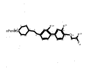 CCCCC[SiH]1CCC(CCc2ccc(-c3ccc(OCC(F)F)c(F)c3)c(F)c2)CC1